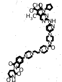 CC(=O)c1c(C)c2cnc(Nc3ccc(N4CCN(C(=O)N5CCN(CCN6CCN(c7ccc8c(c7)C(=O)N(C7CCC(=O)NC7=O)C8=O)CC6)CC5)CC4)cn3)nc2n(C2CCCC2)c1=O